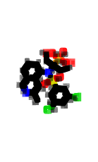 CCC(CC)(N(c1cccc2cnc(C)cc12)S(=O)(=O)c1cc(Cl)cc(Cl)c1)P(=O)(O)O